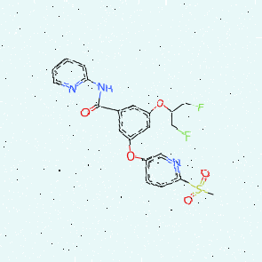 CS(=O)(=O)c1ccc(Oc2cc(OC(CF)CF)cc(C(=O)Nc3ccccn3)c2)cn1